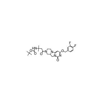 CC(C)(CC(=O)N1CCN2c3cc(OCc4ccc(F)c(F)c4)nc(=O)n3CC2C1)NC(=O)OC(C)(C)C